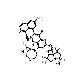 [2H]C1([2H])CC2(CC2)[C@@]2(C([2H])([2H])Oc3nc(N4CCOC[C@H]5[C@H](F)[C@H]54)c4cnc(-c5cc(N)cc6ccc(F)c(C#C)c56)c(F)c4n3)C[C@]([2H])(F)CN12